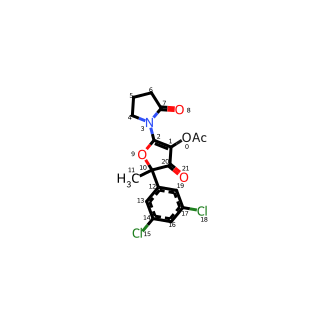 CC(=O)OC1=C(N2CCCC2=O)OC(C)(c2cc(Cl)cc(Cl)c2)C1=O